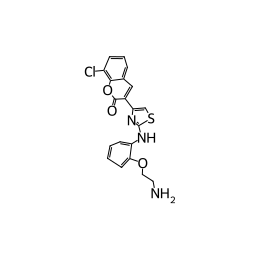 NCCOc1ccccc1Nc1nc(-c2cc3cccc(Cl)c3oc2=O)cs1